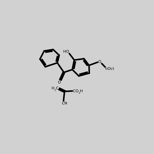 C=C(C#N)C(=O)O.CCCCCCCCOc1ccc(C(=O)c2ccccc2)c(O)c1